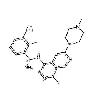 Cc1c([C@@H](N)Nc2nnc(C)c3cnc(N4CCN(C)CC4)cc23)cccc1C(F)(F)F